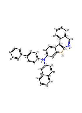 c1ccc(-c2ccc(N(c3ccc4ccccc4c3)c3ccc4c(c3)sc3ncc5ccccc5c34)cc2)cc1